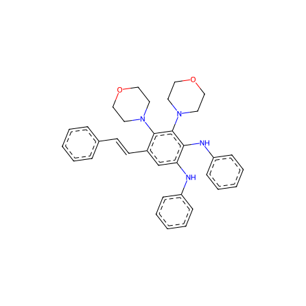 C(=Cc1cc(Nc2ccccc2)c(Nc2ccccc2)c(N2CCOCC2)c1N1CCOCC1)c1ccccc1